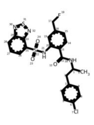 CC(Cc1ccc(Cl)cc1)NC(=O)c1ccc(CF)cc1NS(=O)(=O)c1cccc2nsnc12